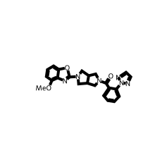 COc1cccc2oc(N3CC4CN(C(=O)c5ccccc5-n5nccn5)CC4C3)nc12